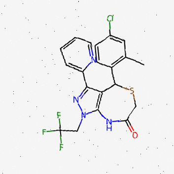 Cc1cc(Cl)ccc1C1SCC(=O)Nc2c1c(-c1ccccn1)nn2CC(F)(F)F